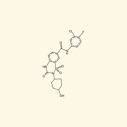 O=C(Nc1ccc(F)c(Cl)c1)c1ccc2c(c1)S(=O)(=O)N(C1CCC(O)CC1)C(=O)N2